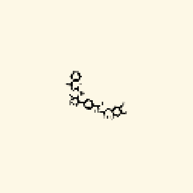 Cc1noc(-c2ccc(C(=O)NC(Cc3ccc(F)c(F)c3)C(=O)O)cc2)c1NC(=O)OC(C)c1ccccc1